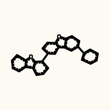 c1ccc(-c2ccc3oc4ccc(-c5cccc6c5oc5ccccc56)cc4c3c2)cc1